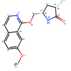 CC(C)Oc1ccc2ccnc(OC[C@@H]3C[C@H](F)C(=O)N3)c2c1